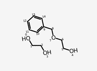 OCCO.OCCOCc1ccccc1